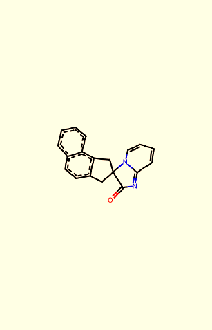 O=C1N=C2C=CC=CN2C12Cc1ccc3ccccc3c1C2